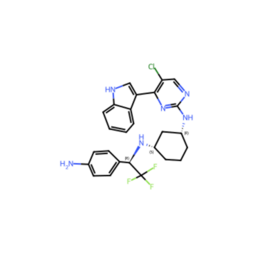 Nc1ccc([C@@H](N[C@H]2CCC[C@@H](Nc3ncc(Cl)c(-c4c[nH]c5ccccc45)n3)C2)C(F)(F)F)cc1